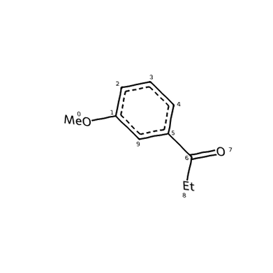 [CH2]Oc1cccc(C(=O)CC)c1